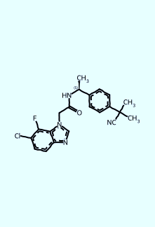 C[C@H](NC(=O)Cn1cnc2ccc(Cl)c(F)c21)c1ccc(C(C)(C)C#N)cc1